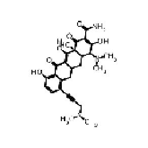 CN(C)CC#Cc1ccc(O)c2c1CC1CC3C(N(C)C)C(O)=C(C(N)=O)C(=O)[C@@]3(O)C(O)=C1C2=O